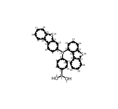 OB(O)c1ccc(N(c2ccc3c(c2)sc2ccccc23)c2cccc3sc4ccccc4c23)cc1